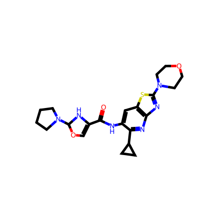 O=C(Nc1cc2sc(N3CCOCC3)nc2nc1C1CC1)C1=COC(N2CCCC2)N1